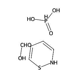 C1=CNSC=C1.O=CO.O=[PH](O)O